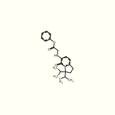 CC(C)C1(C(C)C)CCc2ccc(NCC(=O)Oc3ccccc3)c(=O)n21